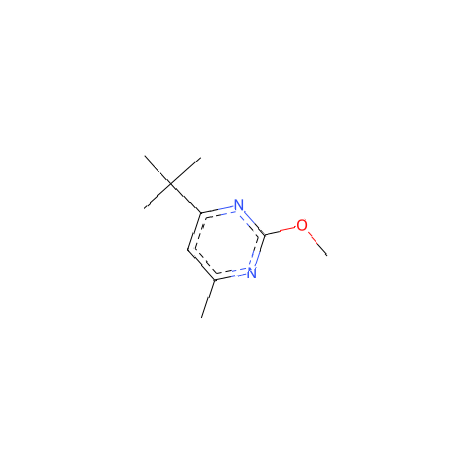 COc1nc(C)cc(C(C)(C)C)n1